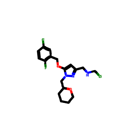 Fc1ccc(Cl)cc1COc1cc(CNCCl)nn1CC1CCCCO1